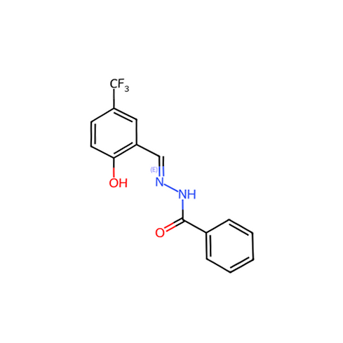 O=C(N/N=C/c1cc(C(F)(F)F)ccc1O)c1ccccc1